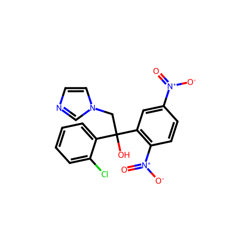 O=[N+]([O-])c1ccc([N+](=O)[O-])c(C(O)(Cn2ccnc2)c2ccccc2Cl)c1